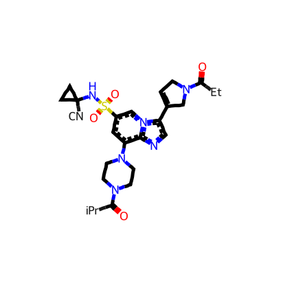 CCC(=O)N1CC=C(c2cnc3c(N4CCN(C(=O)C(C)C)CC4)cc(S(=O)(=O)NC4(C#N)CC4)cn23)C1